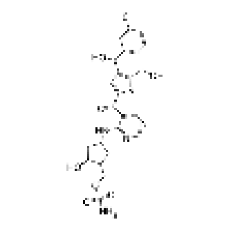 NS(=O)(=O)OCC1C[C@@H](Nc2ncncc2C(=O)c2cc(C(O)c3cccc(Cl)c3)c(CO)s2)C[C@@H]1O